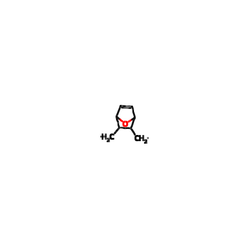 [CH2]C1C2C=CC(O2)C1[CH2]